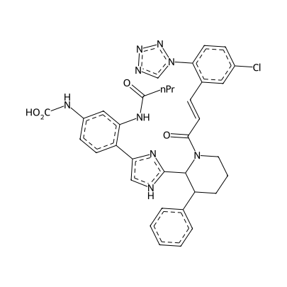 CCCC(=O)Nc1cc(NC(=O)O)ccc1-c1c[nH]c(C2C(c3ccccc3)CCCN2C(=O)C=Cc2cc(Cl)ccc2-n2cnnn2)n1